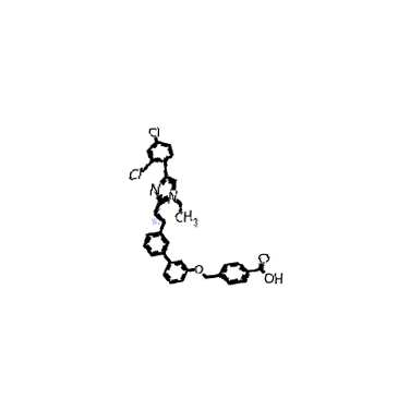 CCn1cc(-c2ccc(Cl)cc2Cl)nc1/C=C/c1cccc(-c2cccc(OCc3ccc(C(=O)O)cc3)c2)c1